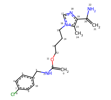 C=C(NCc1ccc(Cl)cc1)OCCCCn1cnc(C(=C)N)c1C